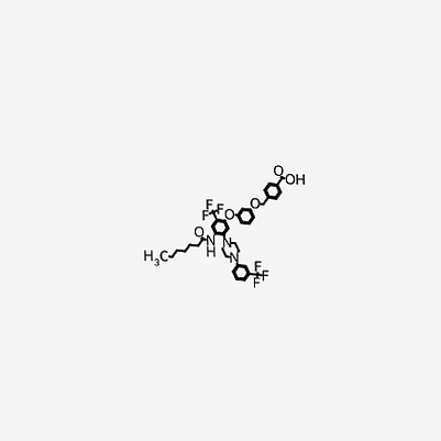 CCCCCCC(=O)Nc1cc(C(F)(F)F)c(Oc2cccc(OCc3ccc(C(=O)O)cc3)c2)cc1N1CCN(c2cccc(C(F)(F)F)c2)CC1